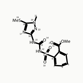 COC(=O)c1ccccc1S(=O)(=O)NC(=O)Nc1nc(SC)n(C)n1